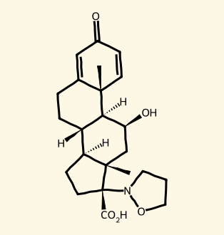 C[C@]12C=CC(=O)C=C1CC[C@@H]1[C@@H]2[C@@H](O)C[C@@]2(C)[C@H]1CC[C@@]2(C(=O)O)N1CCCO1